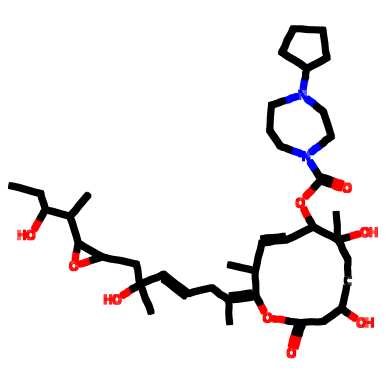 CCC(O)C(C)C1OC1CC(C)(O)/C=C/C/C(C)=C1/OC(=O)CC(O)CCC(C)(O)C(OC(=O)N2CCCN(C3CCCC3)CC2)/C=C/C1C